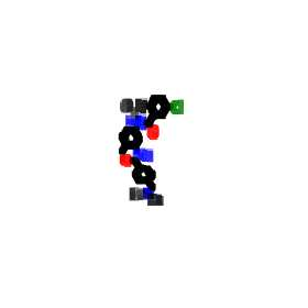 CCN(CC)Cc1ccc(C(=O)Nc2cc(NC(=O)c3cc(Cl)ccc3[N+](=O)[O-])ccc2C)cc1